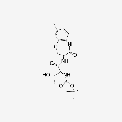 Cc1ccc2c(c1)OC[C@H](NC(=O)[C@@H](NC(=O)OC(C)(C)C)[C@H](C)O)C(=O)N2